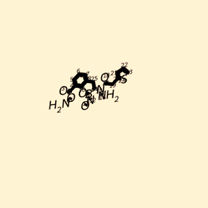 NOC(=O)c1cccc2c1OB(N=O)[C@@H](N(N)C(=O)Cc1cccs1)C2